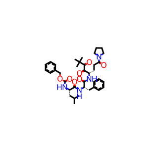 CC(C)C[C@H](NC(=O)OCc1ccccc1)C(=O)N[C@@H](Cc1ccccc1)C(=O)N[C@@H](CCC(=O)N1CCCC1)C(=O)C(=O)C(C)(C)C